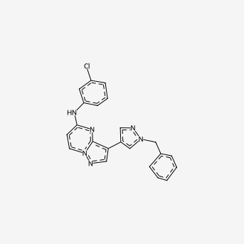 Clc1cccc(Nc2ccn3ncc(-c4cnn(Cc5ccccc5)c4)c3n2)c1